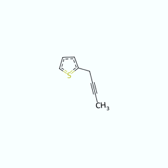 CC#CCc1cccs1